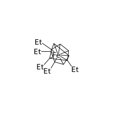 CC[C]12[CH]3[CH]4[CH]5[C]1(CC)[Fe]43521678[CH]2[CH]1[C]6(CC)[C]7(CC)[C]28CC